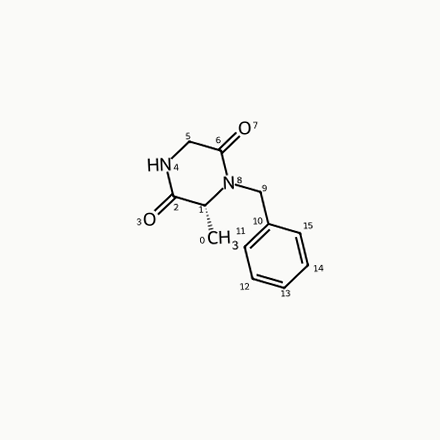 C[C@@H]1C(=O)NCC(=O)N1Cc1ccccc1